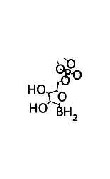 B[C@@H]1O[C@H](COP(=O)(OC)OC)C(O)[C@@H]1O